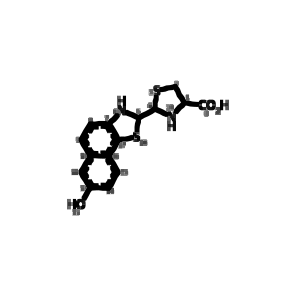 O=C(O)C1CSC(C2Nc3ccc4cc(O)ccc4c3S2)N1